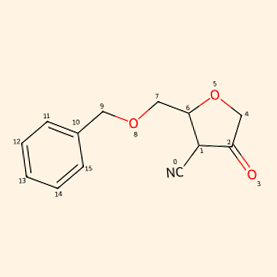 N#CC1C(=O)COC1COCc1ccccc1